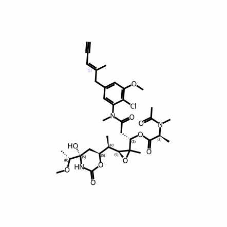 C#C/C=C(\C)Cc1cc(OC)c(Cl)c(N(C)C(=O)C[C@H](OC(=O)[C@H](C)N(C)C(C)=O)C2(C)O[C@H]2[C@H](C)[C@@H]2C[C@](O)([C@@H](C)OC)NC(=O)O2)c1